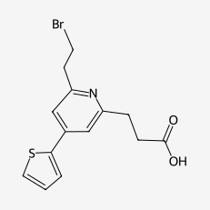 O=C(O)CCc1cc(-c2cccs2)cc(CCBr)n1